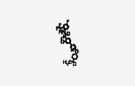 CC(=O)C1CCC(Oc2ccc(-c3ccc4c(c3)OCCN4C(=O)Nc3ccc(F)cc3C(F)(F)F)cn2)CC1